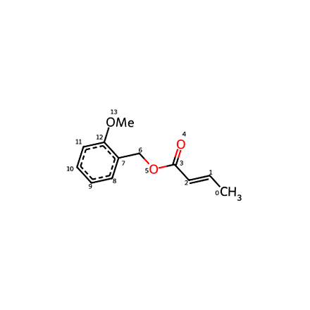 CC=CC(=O)OCc1ccccc1OC